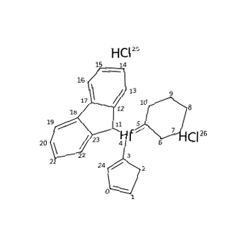 C1=CC[C]([Hf](=[C]2CCCCC2)[CH]2c3ccccc3-c3ccccc32)=C1.Cl.Cl